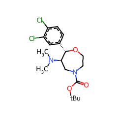 CN(C)[C@@H]1CN(C(=O)OC(C)(C)C)CCO[C@H]1c1ccc(Cl)c(Cl)c1